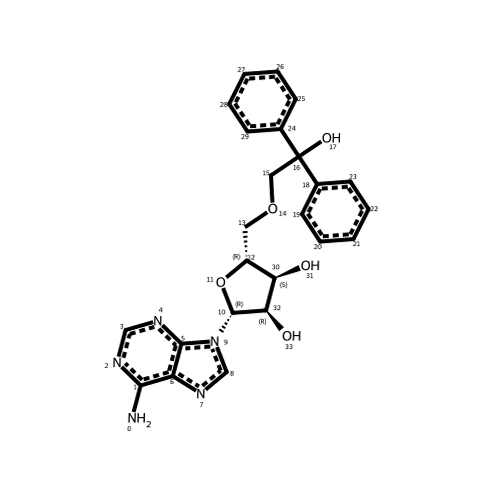 Nc1ncnc2c1ncn2[C@@H]1O[C@H](COCC(O)(c2ccccc2)c2ccccc2)[C@@H](O)[C@H]1O